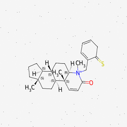 C[C@@]12CCC[C@H]1[C@@H]1CC[C@@H]3[C@](C)(C=CC(=O)[N+]3(C)CC3=CC=CCC3=S)[C@H]1CC2